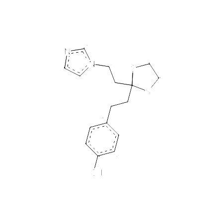 Cc1ccc(CCC2(CCn3ccnc3)SCCS2)cc1